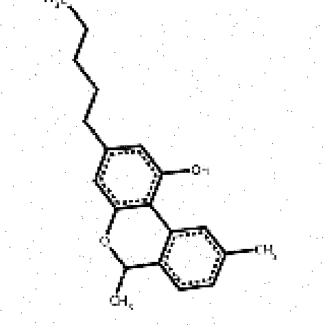 CCCCCc1cc(O)c2c(c1)OC(C)c1ccc(C)cc1-2